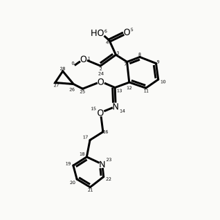 COC=C(C(=O)O)c1ccccc1C(=NOCCc1ccccn1)OCC1CC1